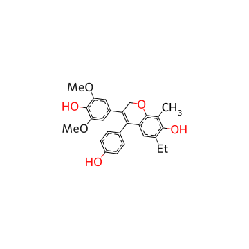 CCc1cc2c(c(C)c1O)OCC(c1cc(OC)c(O)c(OC)c1)=C2c1ccc(O)cc1